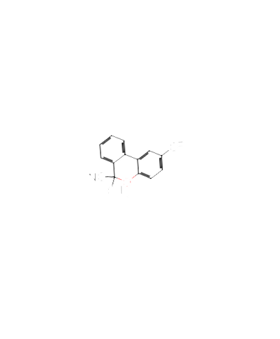 CC1(C#N)Oc2ccc(C(F)(F)F)cc2-c2ccccc21